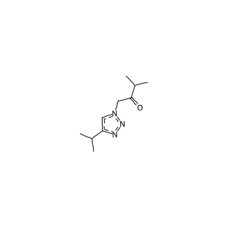 CC(C)C(=O)Cn1cc(C(C)C)nn1